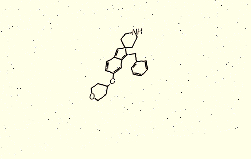 C1=c2ccc(OC3CCOCC3)cc2=C(Cc2ccccc2)C12CCNCC2